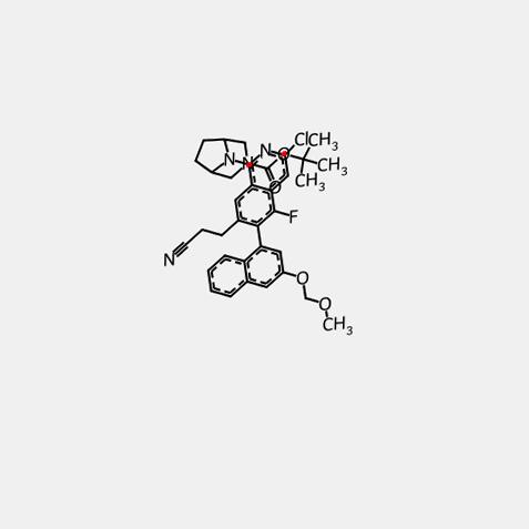 COCOc1cc(-c2c(CCC#N)cc3c(N4C5CCC4CN(C(=O)OC(C)(C)C)C5)nc(Cl)cc3c2F)c2ccccc2c1